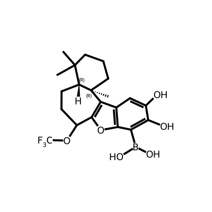 CC1(C)CCC[C@@]2(C)c3c(oc4c(B(O)O)c(O)c(O)cc34)C(OC(F)(F)F)CC[C@H]12